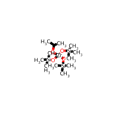 CC(C)[O][Zr]([O][Si](C)(C)C)([O][Si](C)(C)C)[O][Si](C)(C)C